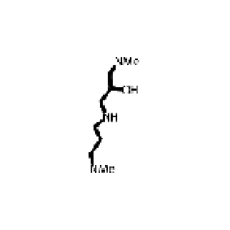 CNCCCNCC(O)CNC